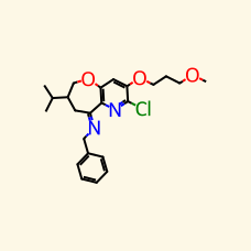 COCCCOc1cc2c(nc1Cl)C(=NCc1ccccc1)CC(C(C)C)CO2